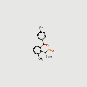 CCCC(C)C(P=O)c1c(C)cccc1C(=O)c1ccc(C(C)(C)C)cc1